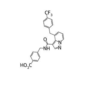 O=C(O)c1ccc(CNC(=O)c2cnn3cccc(Cc4ccc(C(F)(F)F)cc4)c23)cc1